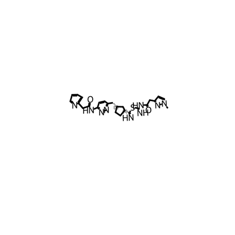 Cn1ccc(CC(=O)NC(=N)SC(=N)[C@@H]2CC[C@H](Cc3ccc(NC(=O)Cc4ccccn4)nn3)C2)n1